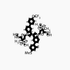 CSc1ccc(-c2ccc3c(ccn3CC[C@](C)(C(=O)NO)S(C)(=O)=O)c2)c(F)c1.C[C@@](CCn1ccc2cc(-c3ccc(OC(F)(F)F)cc3)ccc21)(C(=O)NO)S(C)(=O)=O